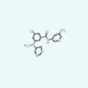 Cc1cncc(NC(=O)c2cc(Cl)cc(N(C)c3cncnc3)c2)c1